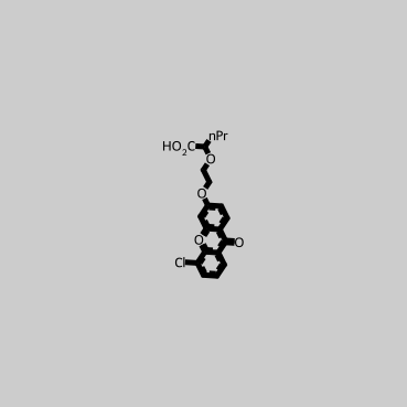 CCCC(OCCOc1ccc2c(=O)c3cccc(Cl)c3oc2c1)C(=O)O